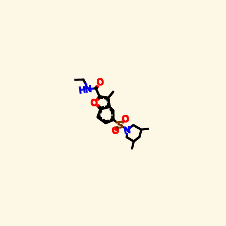 CCNC(=O)c1oc2ccc(S(=O)(=O)N3CC(C)CC(C)C3)cc2c1C